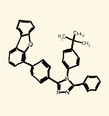 CC(C)(C)c1ccc(-n2c(-c3ccccc3)nnc2-c2ccc(-c3cccc4c3oc3ccccc34)cc2)cc1